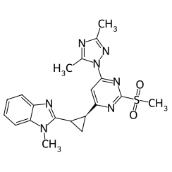 Cc1nc(C)n(-c2cc([C@H]3CC3c3nc4ccccc4n3C)nc(S(C)(=O)=O)n2)n1